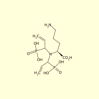 C=CC(N(C(C=C)P(=O)(O)O)[C@@H](CCCN)C(=O)O)P(=O)(O)O